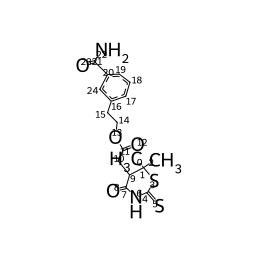 CC1(C)SC(=S)NC(=O)C1CC(=O)OCCc1cccc(C(N)=O)c1